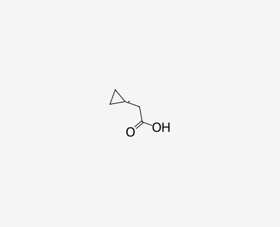 O=C(O)C[C]1CC1